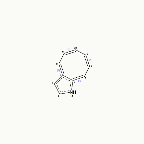 [C]1=C\C=c2\[nH]cc\c2=C\C=C/1